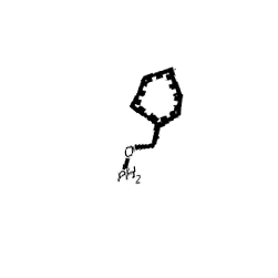 POCc1cc[c]cc1